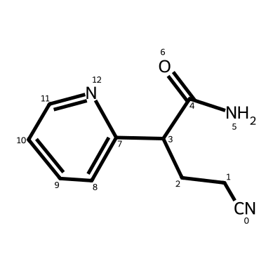 N#CCCC(C(N)=O)c1ccccn1